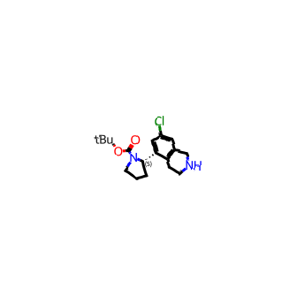 CC(C)(C)OC(=O)N1CCC[C@H]1c1cc(Cl)cc2c1CCNC2